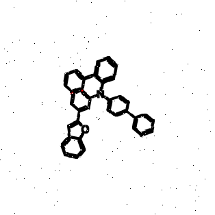 c1ccc(-c2ccc(N(c3cccc(-c4cc5ccccc5o4)c3)c3ccccc3-c3ccccc3)cc2)cc1